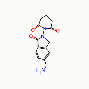 NCc1ccc2c(c1)CN(N1C(=O)CCCC1=O)C2=O